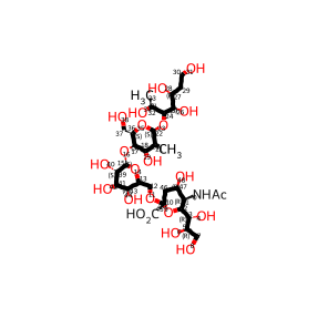 CC(=O)N[C@H]1C([C@H](O)[C@H](O)CO)O[C@@](OCC2O[C@@H](O[C@H]3C(O)C(C)[C@H](OC([C@@H](O)[C@H](O)CCO)[C@@H](C)O)O[C@H]3CO)[C@@H](O)C(O)[C@H]2O)(C(=O)O)C[C@H]1O